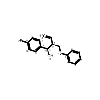 C=C[C@@H](CSc1ccccc1)[C@@H](O)c1ccc(F)cc1